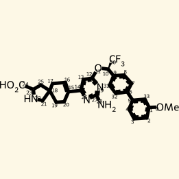 COc1cccc(-c2ccc([C@@H](Oc3cc(C4=CCC5(CC4)CNC(C(=O)O)C5)nc(N)n3)C(F)(F)F)cc2)c1